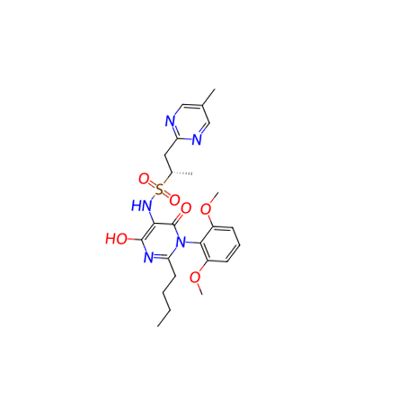 CCCCc1nc(O)c(NS(=O)(=O)[C@@H](C)Cc2ncc(C)cn2)c(=O)n1-c1c(OC)cccc1OC